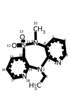 CCN1c2ncccc2N(C)S(=O)(=O)c2cccnc21